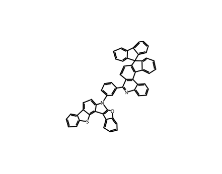 c1cc(-c2nc3ccccc3c3c4c(ccc23)C2(c3ccccc3-c3ccccc32)c2ccccc2-4)cc(-n2c3ccc4c5ccccc5sc4c3c3c4ccccc4oc32)c1